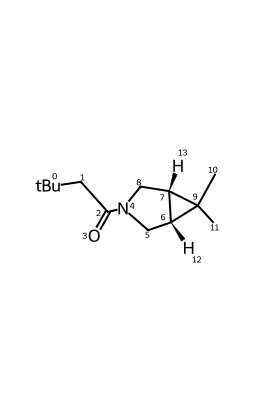 CC(C)(C)CC(=O)N1C[C@@H]2[C@H](C1)C2(C)C